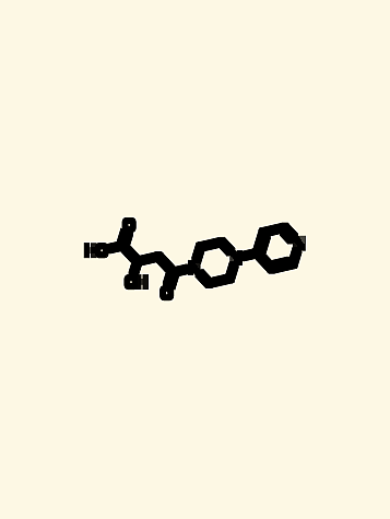 O=C(O)C(O)CC(=O)N1CCN(c2ccncc2)CC1